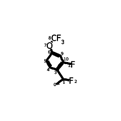 [CH2]C(F)c1ccc(OC(F)(F)F)cc1F